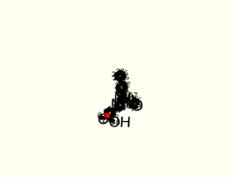 COc1ccc(-c2ccc3c(N4CCOC[C@@H]4C)nc(N4CCC(c5ccccc5)CC4)nc3n2)cc1CO